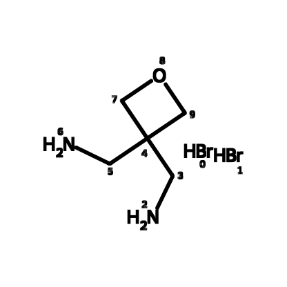 Br.Br.NCC1(CN)COC1